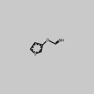 N=COc1ccsc1